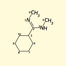 CN=C(NC)C1CCCCC1